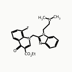 CCOC(=O)c1cn(Cc2nc3ccccc3n2CCN(C)C)c2c(F)cccc2c1=O